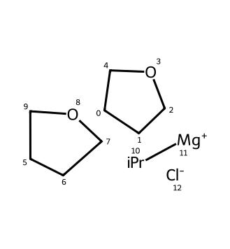 C1CCOC1.C1CCOC1.C[CH](C)[Mg+].[Cl-]